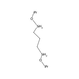 CC(C)O[SiH2]CCC[SiH2]OC(C)C